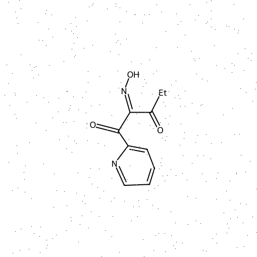 CCC(=O)/C(=N\O)C(=O)c1ccccn1